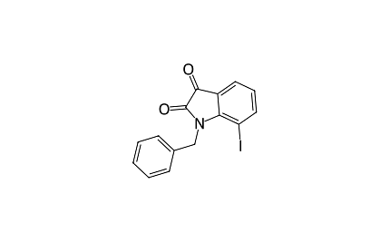 O=C1C(=O)N(Cc2ccccc2)c2c(I)cccc21